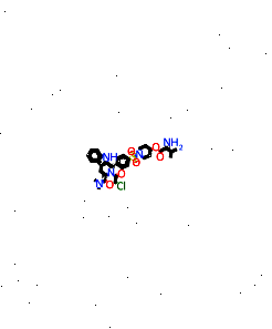 CC(C)[C@H](N)C(=O)OC1CCN(S(=O)(=O)c2ccc([C@H]3c4[nH]c5ccccc5c4C[C@H](C(=O)N(C)C)N3C(=O)CCl)cc2)CC1